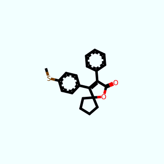 CSc1ccc(C2=C(c3ccccc3)C(=O)OC23CCCC3)cc1